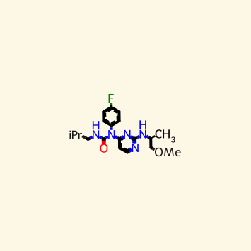 COC[C@H](C)Nc1nccc(N(C(=O)NCC(C)C)c2ccc(F)cc2)n1